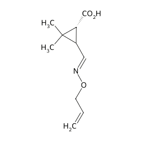 C=CCO/N=C/C1[C@@H](C(=O)O)C1(C)C